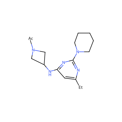 CCc1cc(NC2CN(C(C)=O)C2)nc(N2CCCCC2)n1